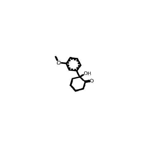 COc1cccc(C2(O)CCCCC2=O)c1